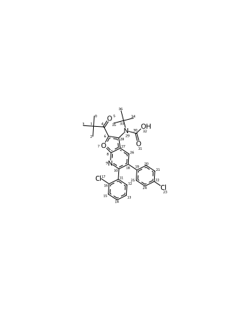 CC(C)(C)C(=O)c1oc2nc(-c3ccccc3Cl)c(-c3ccc(Cl)cc3)cc2c1N(C(=O)O)C(C)(C)C